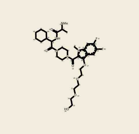 CNC(C)C(=O)NC(C(=O)N1CCN(C(=O)c2c(OCCOCCOCCO)c3cc(F)c(F)cc3n2C)CC1)C1CCCCC1